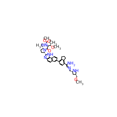 COC[C@@H]1CN[C@H](/C=N/C=C(\N)c2ccc(-c3ccc4c(ccc5nc([C@@H]6CC[C@H](C)N6C(=O)[C@@H](NC(=O)OC)[C@@H](C)OC)[nH]c54)c3)c3c2CCC3)C1